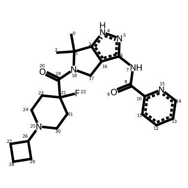 CC1(C)c2[nH]nc(NC(=O)c3ccccn3)c2CN1C(=O)C1(F)CCN(C2CCC2)CC1